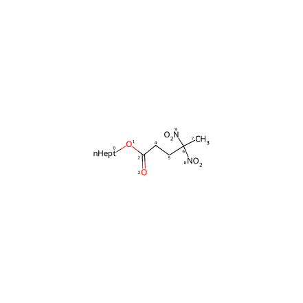 CCCCCCCOC(=O)CCC(C)([N+](=O)[O-])[N+](=O)[O-]